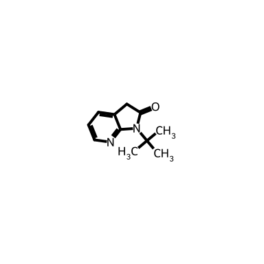 CC(C)(C)N1C(=O)Cc2cccnc21